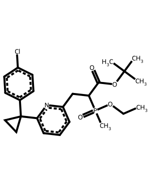 CCOP(C)(=O)C(Cc1cccc(C2(c3ccc(Cl)cc3)CC2)n1)C(=O)OC(C)(C)C